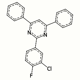 Fc1ccc(-c2nc(-c3ccccc3)cc(-c3ccccc3)n2)cc1Cl